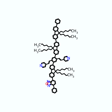 CCCCCCC1(CCCCCC)c2cc(-c3ccccc3)ccc2-c2ccc(-c3ccc4c(c3)C(CCCCCC)(CCCCCC)c3cc(-c5cc(/C=C/c6ccncc6)c(-c6ccc7c(c6)C(CCCCCC)(CCCCCC)c6cc(-c8ccc(-c9ccccc9)c9nonc89)ccc6-7)cc5/C=C/c5ccncc5)ccc3-4)cc21